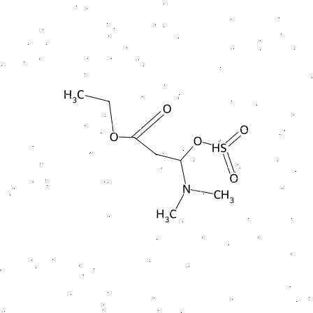 CCOC(=O)CC(O[SH](=O)=O)N(C)C